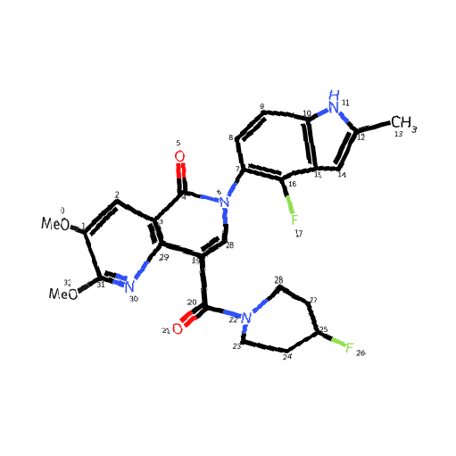 COc1cc2c(=O)n(-c3ccc4[nH]c(C)cc4c3F)cc(C(=O)N3CCC(F)CC3)c2nc1OC